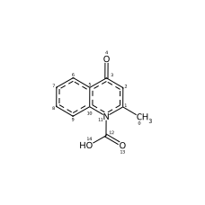 Cc1cc(=O)c2ccccc2n1C(=O)O